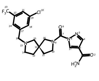 NC(=O)c1cnn(C(=O)N2CC[C@]3(CCN(Cc4cc(Cl)cc(C(F)(F)F)c4)C3)C2)c1